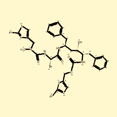 CC(C)c1nc(CN(C)C(=O)N[C@H](C(=O)N[C@@H](Cc2ccccc2)C[C@H](O)[C@H](Cc2ccccc2)NC(=O)OCc2cnc(C(C)C)s2)C(C)C)cs1